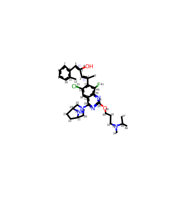 C/C(=C\C(O)=C/c1ccccc1C)c1c(Cl)cc2c(N3CC4CCC(C3)N4)nc(OCCCN(C)C(C)C)nc2c1F